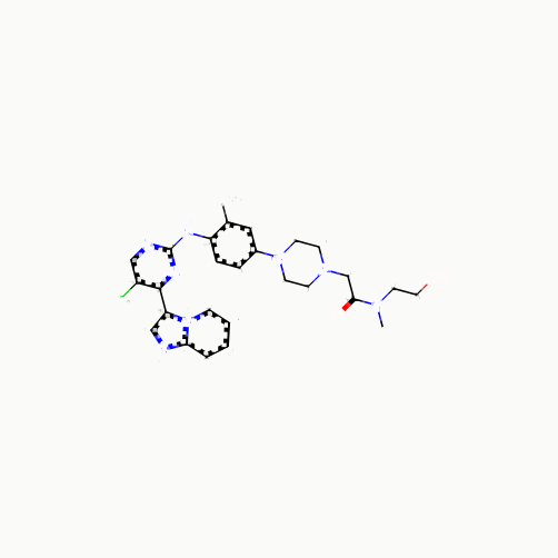 COc1cc(N2CCN(CC(=O)N(C)CCO)CC2)ccc1Nc1ncc(Cl)c(-c2cnc3ccccn23)n1